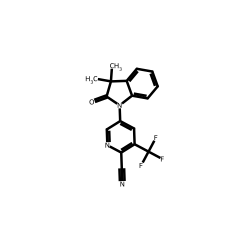 CC1(C)C(=O)N(c2cnc(C#N)c(C(F)(F)F)c2)c2ccccc21